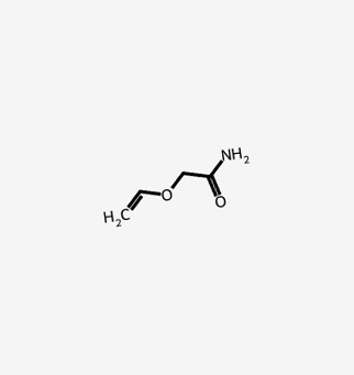 C=COCC(N)=O